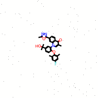 Cc1nnc(-c2ccc3c(=O)c(C)cn(-c4cc(C(C)(C)O)ccc4Oc4c(C)cc(F)cc4C)c3c2)o1